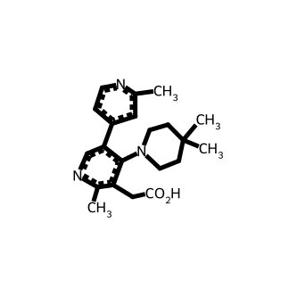 Cc1cc(-c2cnc(C)c(CC(=O)O)c2N2CCC(C)(C)CC2)ccn1